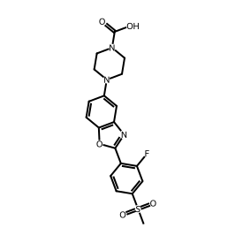 CS(=O)(=O)c1ccc(-c2nc3cc(N4CCN(C(=O)O)CC4)ccc3o2)c(F)c1